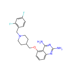 Nc1nc(N)c2c(OCC3CCN(Cc4ccc(F)cc4F)CC3)cccc2n1